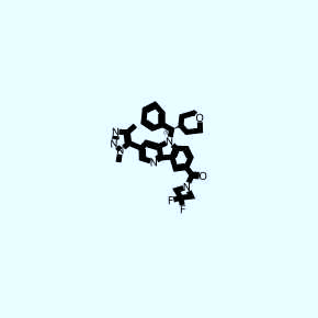 Cc1nnn(C)c1-c1cnc2c3cc(C(=O)N4CC(F)(F)C4)ccc3n([C@H](c3ccccc3)C3CCOCC3)c2c1